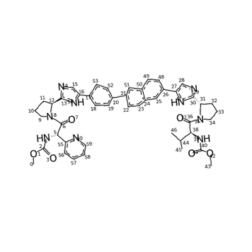 COC(=O)N[C@H](C(=O)N1CCC[C@H]1c1ncc(-c2ccc(-c3ccc4cc(-c5cnc([C@@H]6CCCN6C(=O)[C@@H](NC(=O)OC)C(C)C)[nH]5)ccc4c3)cc2)[nH]1)c1ccccn1